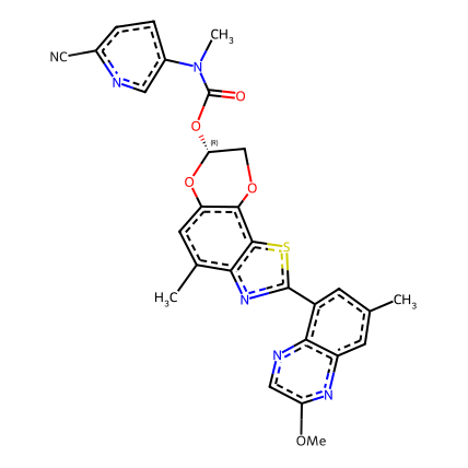 COc1cnc2c(-c3nc4c(C)cc5c(c4s3)OC[C@@H](OC(=O)N(C)c3ccc(C#N)nc3)O5)cc(C)cc2n1